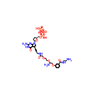 NCCNC(=O)c1cccc(OCC(N)OCCOCC(=O)NCC#Cc2cn([C@H]3CC[C@@H](COP(=O)(O)OP(=O)(O)OP(=O)(O)O)O3)c3nc(N)[nH]c(=O)c23)c1